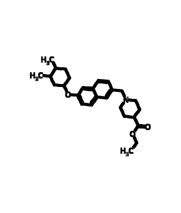 CCOC(=O)C1CCN(Cc2ccc3cc(OC4CCC(C)C(C)C4)ccc3c2)CC1